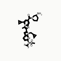 Cc1c(-c2cc3ccc(N(C(F)F)S(C)(=O)=O)nc3n2CC2CC2)nc2cc(C(=O)N3CCC[C@@H](N)C3)cc(C3CC3)n12